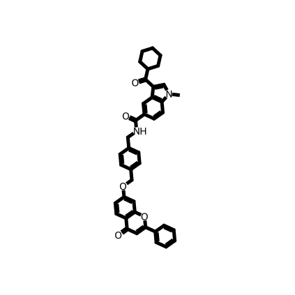 Cn1cc(C(=O)C2CCCCC2)c2cc(C(=O)NCc3ccc(COc4ccc5c(=O)cc(-c6ccccc6)oc5c4)cc3)ccc21